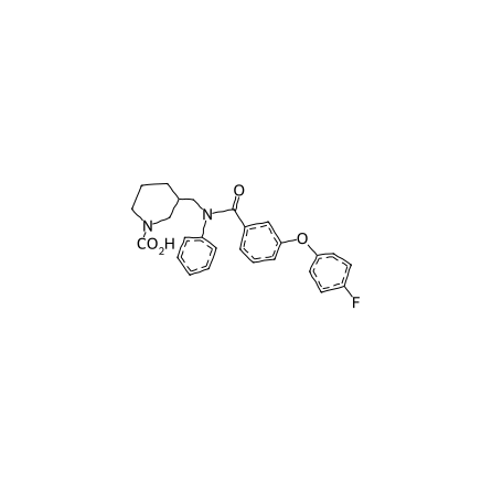 O=C(O)N1CCCC(CN(C(=O)c2cccc(Oc3ccc(F)cc3)c2)c2ccccc2)C1